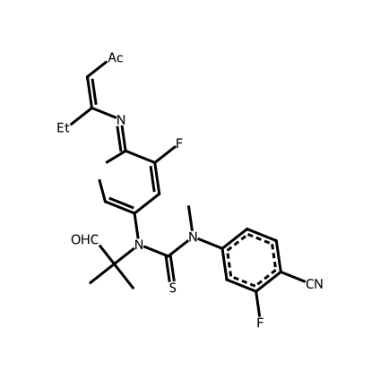 C\C=C(/C=C(F)\C(C)=N\C(=C/C(C)=O)CC)N(C(=S)N(C)c1ccc(C#N)c(F)c1)C(C)(C)C=O